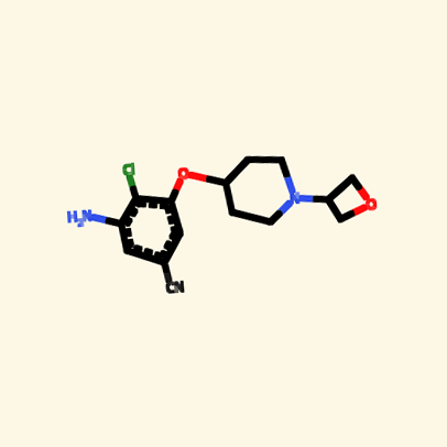 N#Cc1cc(N)c(Cl)c(OC2CCN(C3COC3)CC2)c1